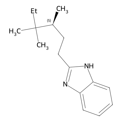 CCC(C)(C)[C@@H](C)CCc1nc2ccccc2[nH]1